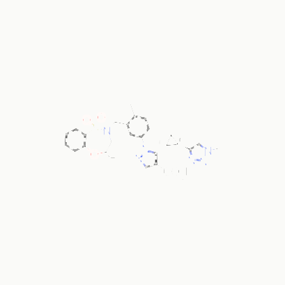 CC[C@@H]1CN(Cc2cc(-n3ncc(C(=O)O)c3[C@@H]3C[C@H]3c3cn(C)nn3)ccc2C)S(=O)(=O)c2ccccc2O1